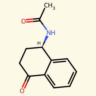 CC(=O)N[C@@H]1CCC(=O)c2ccccc21